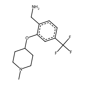 CN1CCC(Oc2cc(C(F)(F)F)ccc2CN)CC1